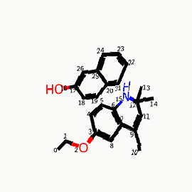 CCOc1ccc2c(c1)C(C)=CC(C)(C)N2.Oc1ccc2ccccc2c1